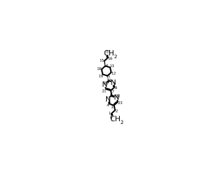 C=CCc1cnc(-c2cnc([C@H]3CC[C@H](CC=C)CC3)nc2)nc1